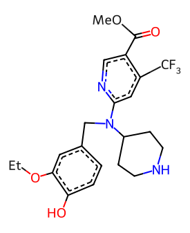 CCOc1cc(CN(c2cc(C(F)(F)F)c(C(=O)OC)cn2)C2CCNCC2)ccc1O